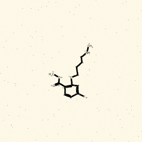 CNCCCCOc1cc(F)ccc1C(=O)OC